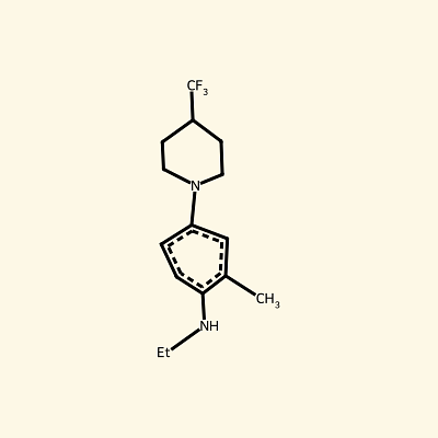 CCNc1ccc(N2CCC(C(F)(F)F)CC2)cc1C